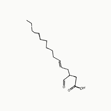 CCCCCCCCCC=CCC(C=O)CC(=O)O